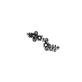 COc1ccc(C(=O)CCc2ccc(N3C(=O)C4C5C=CC(C6CC56)C4C3=O)cc2)cc1OC